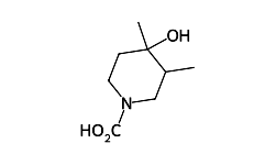 CC1CN(C(=O)O)CCC1(C)O